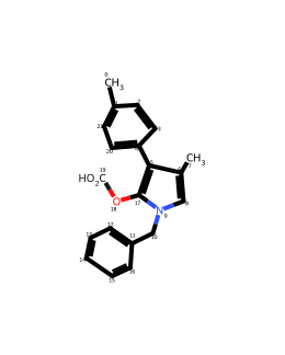 Cc1ccc(-c2c(C)cn(Cc3ccccc3)c2OC(=O)O)cc1